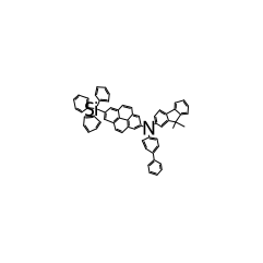 CC1(C)c2ccccc2-c2ccc(N(c3ccc(-c4ccccc4)cc3)c3cc4ccc5cc([Si](c6ccccc6)(c6ccccc6)c6ccccc6)cc6ccc(c3)c4c56)cc21